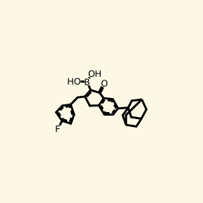 O=C1C(B(O)O)=C(Cc2ccc(F)cc2)Cc2ccc(C34CC5CC(CC(C5)C3)C4)cc21